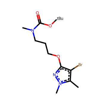 Cc1c(Br)c(OCCCN(C)C(=O)OC(C)(C)C)nn1C